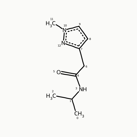 CC(C)NC(=O)Cc1ccn(C)n1